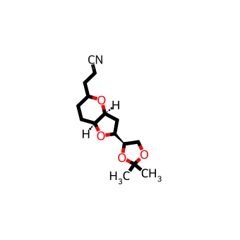 CC1(C)OC[C@H](C2C[C@@H]3OC(CCC#N)CC[C@@H]3O2)O1